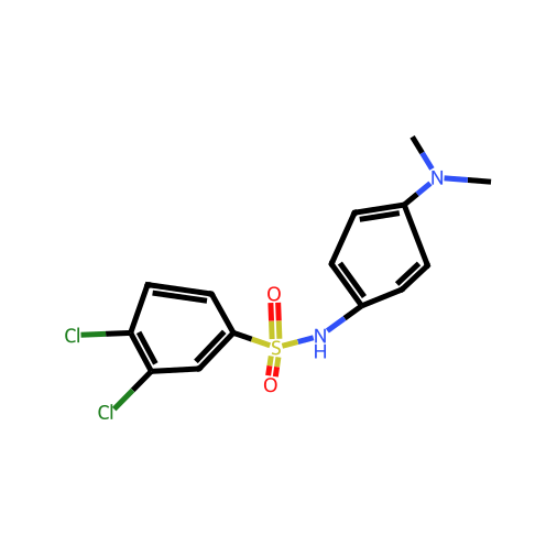 CN(C)c1ccc(NS(=O)(=O)c2ccc(Cl)c(Cl)c2)cc1